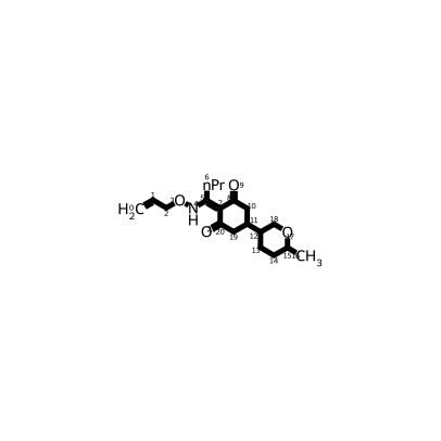 C=CCONC(CCC)=C1C(=O)CC(C2CCC(C)OC2)CC1=O